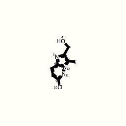 Cc1c(CO)nc2ccc(Cl)nn12